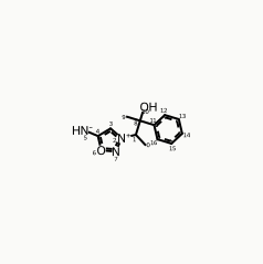 CC([n+]1cc([NH-])on1)C(C)(O)c1ccccc1